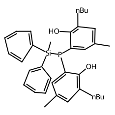 CCCCc1cc(C)cc(P(c2cc(C)cc(CCCC)c2O)[Si](C)(c2ccccc2)c2ccccc2)c1O